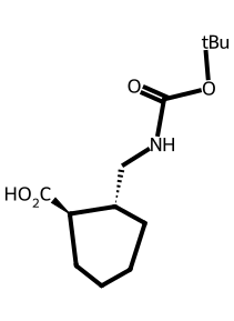 CC(C)(C)OC(=O)NC[C@@H]1CCCC[C@H]1C(=O)O